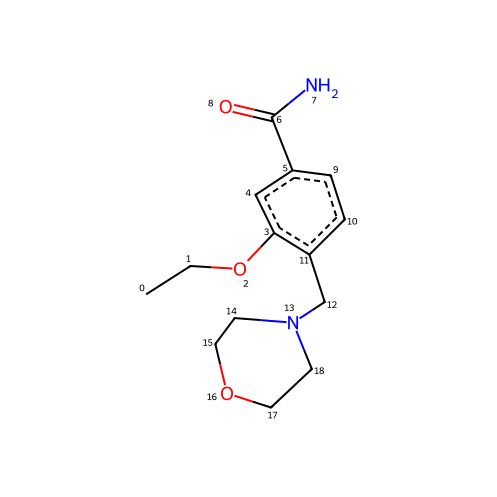 CCOc1cc(C(N)=O)ccc1CN1CCOCC1